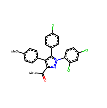 COC(=O)c1nn(-c2ccc(Cl)cc2Cl)c(-c2ccc(Cl)cc2)c1-c1ccc(OC)cc1